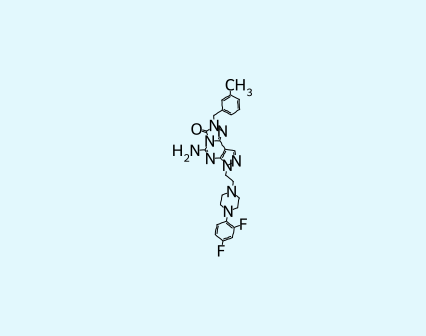 Cc1cccc(Cn2nc3c4cnn(CCN5CCN(c6ccc(F)cc6F)CC5)c4nc(N)n3c2=O)c1